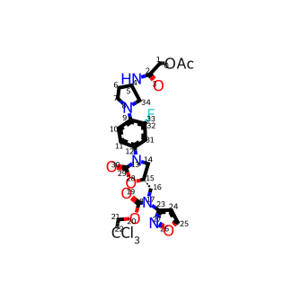 CC(=O)OCC(=O)N[C@H]1CCN(c2ccc(N3C[C@H](CN(C(=O)OCC(Cl)(Cl)Cl)c4ccon4)OC3=O)cc2F)C1